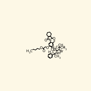 CC(C)(NC(=O)C(Br)C(C)(C)C)c1ccccc1.CCCCCOC(=O)COc1cc(N2C(=O)C3=C(CCCC3)C2=O)c(F)cc1Cl